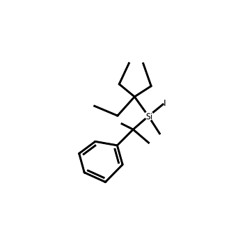 CCC(CC)(CC)[Si](C)(I)C(C)(C)c1ccccc1